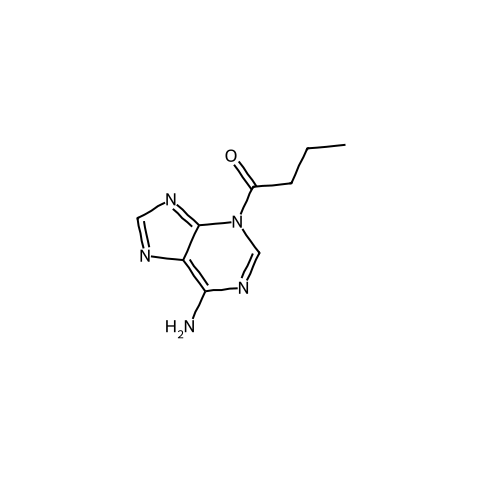 CCCC(=O)n1cnc(N)c2ncnc1-2